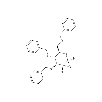 c1ccc(COC[C@H]2O[C@H]3O[C@@H]3[C@@H](OCc3ccccc3)[C@@H]2OCc2ccccc2)cc1